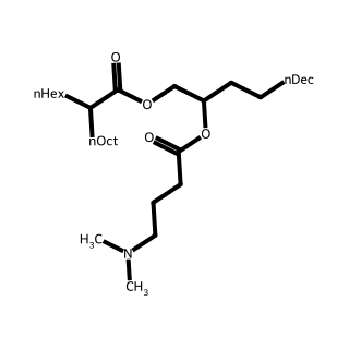 CCCCCCCCCCCCC(COC(=O)C(CCCCCC)CCCCCCCC)OC(=O)CCCN(C)C